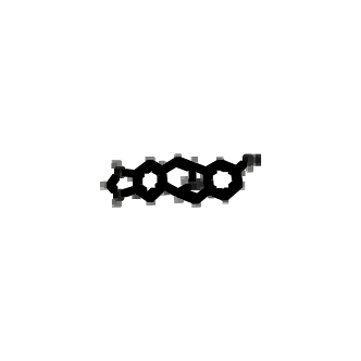 Oc1ccc2c(c1)C1=Cc3cc4c(cc3C(=C2)N1)OCO4